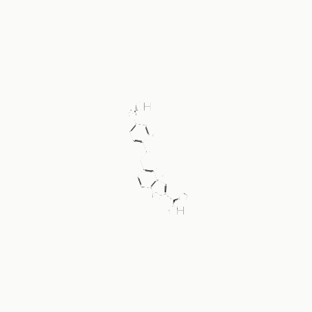 COc1ccc(CCc2ccc3oc(C(C)=O)cc3c2)cc1